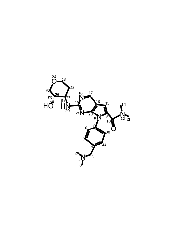 CN(C)Cc1ccc(-n2c(C(=O)N(C)C)cc3cnc(N[C@@H]4CCOC[C@H]4O)nc32)cc1